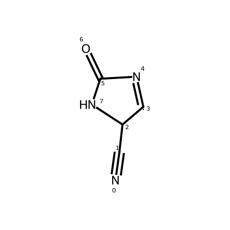 N#CC1[C]=NC(=O)N1